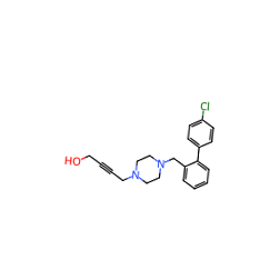 OCC#CCN1CCN(Cc2ccccc2-c2ccc(Cl)cc2)CC1